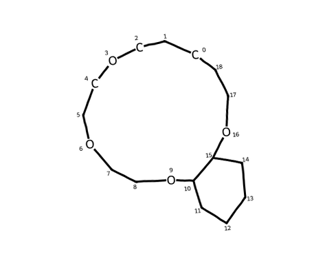 C1CCOCCOCCOC2CCCCC2OCC1